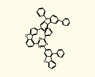 c1ccc(-c2ccc3c(c2)c2ccc(-c4ccc5oc6cccc(-c7nc(-c8ccccc8)nc(-c8cc(-c9ccccc9)c9c(c8)oc8ccccc89)n7)c6c5c4)cc2n3-c2ccccc2)cc1